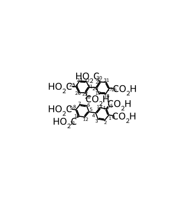 O=C(O)c1ccc(-c2ccc(C(=O)O)c(C(=O)O)c2)cc1C(=O)O.O=C(O)c1ccc(-c2ccc(C(=O)O)cc2C(=O)O)c(C(=O)O)c1